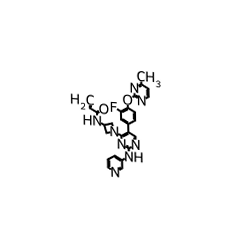 C=CC(=O)NC1CN(c2nc(Nc3cccnc3)ncc2-c2ccc(Oc3nccc(C)n3)c(F)c2)C1